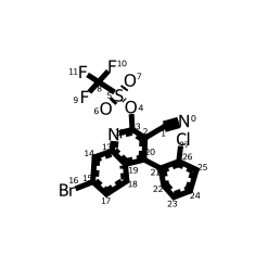 N#Cc1c(OS(=O)(=O)C(F)(F)F)nc2cc(Br)ccc2c1-c1ccccc1Cl